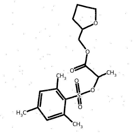 Cc1cc(C)c(S(=O)(=O)OC(C)C(=O)OCC2CCCO2)c(C)c1